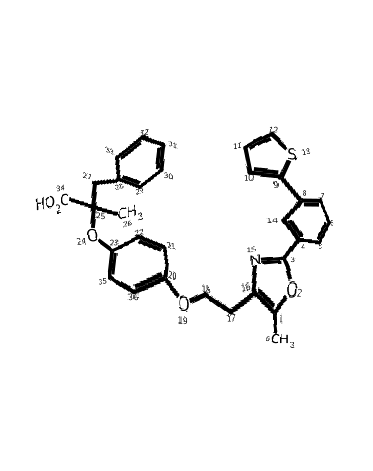 Cc1oc(-c2cccc(-c3cccs3)c2)nc1CCOc1ccc(OC(C)(Cc2ccccc2)C(=O)O)cc1